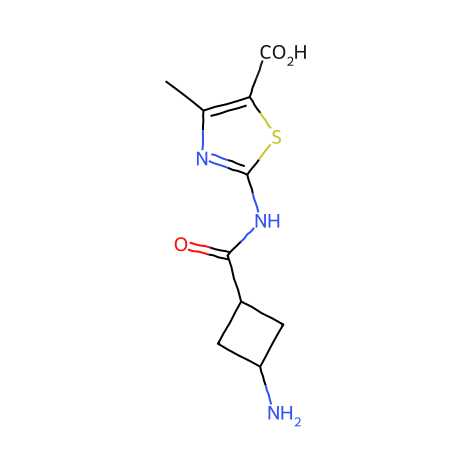 Cc1nc(NC(=O)C2CC(N)C2)sc1C(=O)O